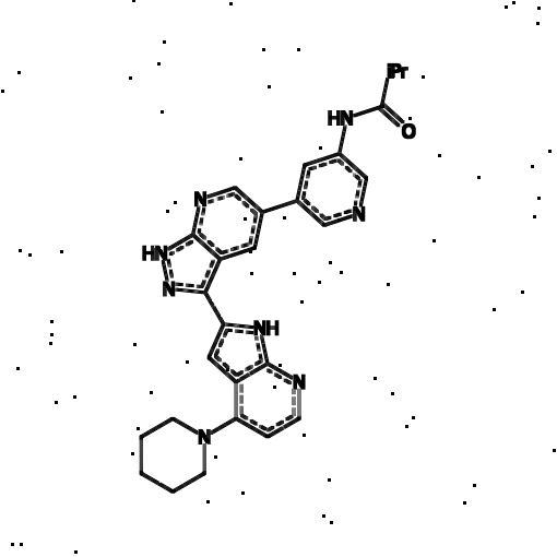 CC(C)C(=O)Nc1cncc(-c2cnc3[nH]nc(-c4cc5c(N6CCCCC6)ccnc5[nH]4)c3c2)c1